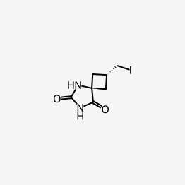 O=C1NC(=O)[C@]2(C[C@@H](CI)C2)N1